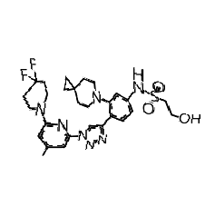 Cc1cc(N2CCC(F)(F)CC2)nc(-n2cc(-c3ccc(NS(=O)(=O)CCO)cc3N3CCC4(CC3)CC4)nn2)c1